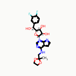 CC1(CNc2ncn([C@@H]3O[C@H]([C@H](O)c4ccc(F)c(F)c4)[C@@H](O)[C@H]3O)c3nccc2-3)OCCO1